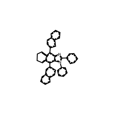 C1=c2c(-c3ccc4ccccc4c3)c3nc(-c4ccccc4)n(-c4ccccc4)c3c(-c3ccc4ccccc4c3)c2=CCC1